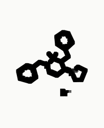 CC1(C)C(Cc2ccccc2)C(=[N+]2CCCC2)C=CN1Cc1ccccc1.[Br-]